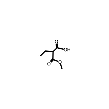 [CH2]CC(C(=O)O)C(=O)OC